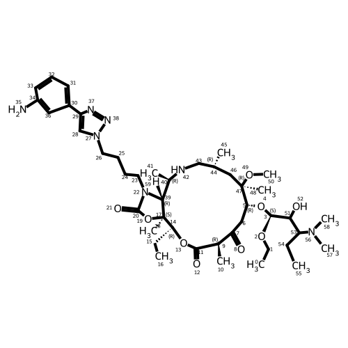 CCO[C@@H](O[C@@H]1CC(=O)[C@@H](C)C(=O)O[C@H](CC)[C@@]2(C)OC(=O)N(CCCCn3cc(-c4cccc(N)c4)nn3)[C@@H]2[C@@H](C)NC[C@H](C)C[C@@]1(C)OC)C(O)C(CC)N(C)C